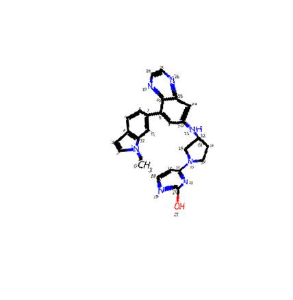 Cn1ccc2ccc(-c3cc(N[C@H]4CCN(c5ccnc(O)n5)C4)cc4nccnc34)cc21